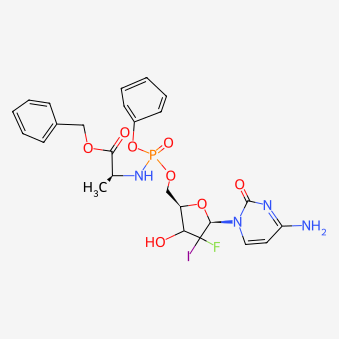 C[C@H](NP(=O)(OC[C@H]1O[C@@H](n2ccc(N)nc2=O)C(F)(I)C1O)Oc1ccccc1)C(=O)OCc1ccccc1